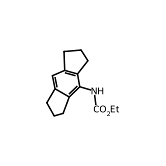 CCOC(=O)Nc1c2c(cc3c1CCC3)CCC2